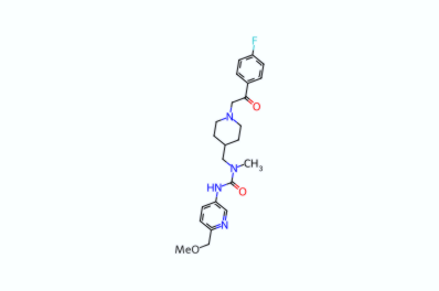 COCc1ccc(NC(=O)N(C)CC2CCN(CC(=O)c3ccc(F)cc3)CC2)cn1